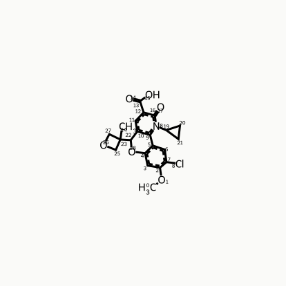 COc1cc2c(cc1Cl)-c1c(cc(C(=O)O)c(=O)n1C1CC1)C(C1(C)COC1)O2